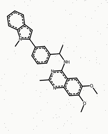 COc1cc2nc(C)nc(NC(C)c3cccc(-c4cc5ccccc5n4C)c3)c2cc1OC